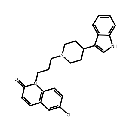 O=c1ccc2cc(Cl)ccc2n1CCCN1CCC(c2c[nH]c3ccccc23)CC1